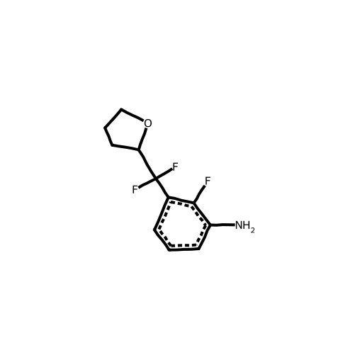 Nc1cccc(C(F)(F)C2CCCO2)c1F